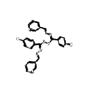 Clc1ccc(C(=NN=Cc2cccnc2)SSC(=NN=Cc2cccnc2)c2ccc(Cl)cc2)cc1